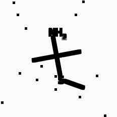 CSC(C)(C)N